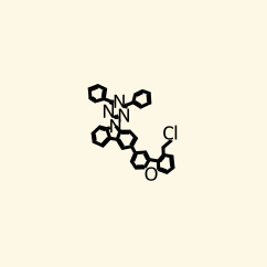 ClCCc1cccc2oc3ccc(-c4ccc5c(c4)c4ccccc4n5-c4nc(-c5ccccc5)nc(-c5ccccc5)n4)cc3c12